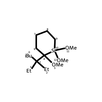 CCC(C)C(CC)(CC)C1(OC)CCCC[Si]1(OC)OC